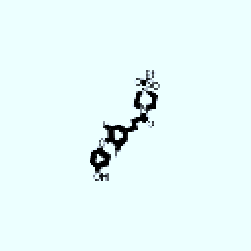 CCS(=O)(=O)N1CCN(C(=O)CCc2cc(I)c(Oc3ccc(O)cc3)c(I)c2)CC1